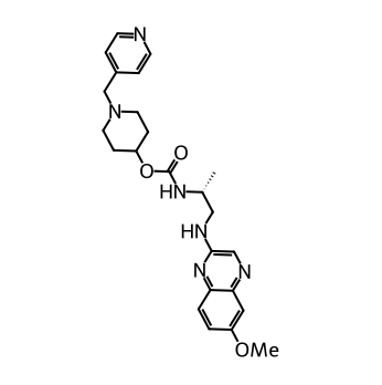 COc1ccc2nc(NC[C@@H](C)NC(=O)OC3CCN(Cc4ccncc4)CC3)cnc2c1